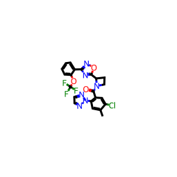 Cc1cc(-n2nccn2)c(C(=O)N2CCC2c2nc(-c3ccccc3OC(F)(F)F)no2)cc1Cl